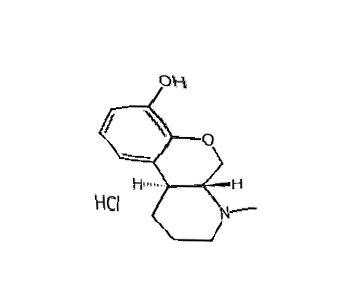 CN1CCC[C@H]2c3cccc(O)c3OC[C@@H]21.Cl